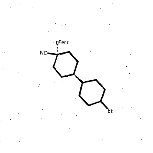 CCCCC[C@]1(C#N)CC[C@@H](C2CCC(CC)CC2)CC1